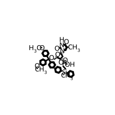 COc1ccc(C(OC[C@H]2O[C@@H](n3cc(C)c(=O)[nH]c3=O)C[C@@H]2OP(=O)(O)CC[Si](C)(c2ccccc2)c2ccccc2)(c2ccccc2)c2ccc(OC)cc2)cc1